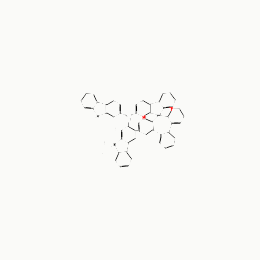 CC1(C)c2ccccc2-c2ccc(N(c3ccc4c(c3)C(C)(C)c3ccccc3-4)c3ccc4c(c3)C3(c5ccccc5-c5ccccc5-c5ccccc53)c3ccccc3-4)cc21